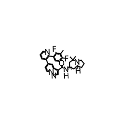 Cc1c(F)ccc(-c2ncccc2-c2ccn3ncc(C(=O)N[C@@H]4C[C@@H]5CCCN5C(C)(C)C4)c3c2)c1F